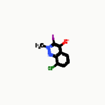 C[n+]1nc2c(Cl)cccc2c([O-])c1I